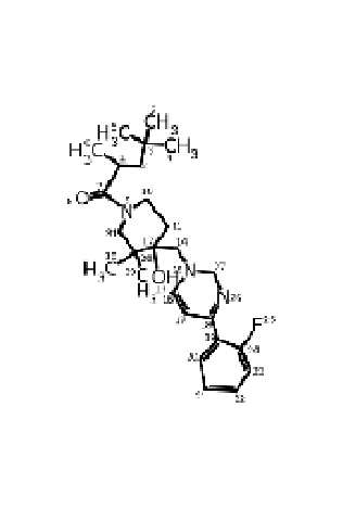 CC(CC(C)(C)C)C(=O)N1CCC(O)(CN2C=CC(c3ccccc3F)=NC2)C(C)(C)C1